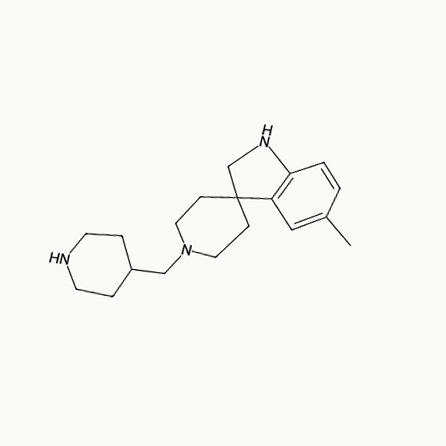 Cc1ccc2c(c1)C1(CCN(CC3CCNCC3)CC1)CN2